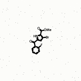 COC(=O)c1[nH]c(C(=O)c2ccccc2F)cc1Br